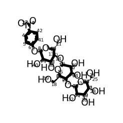 O=[N+]([O-])c1ccc(O[C@@H]2O[C@H](CO)[C@@H](O[C@@H]3O[C@H](CO)[C@H](O[C@H]4O[C@H](CO)[C@H](O)[C@H](O)[C@H]4O)[C@H](O)[C@H]3O)[C@H](O)[C@H]2O)cc1